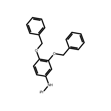 CC(C)Nc1ccc(OCc2ccccc2)c(OCc2ccccc2)c1